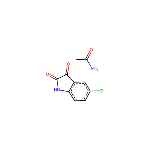 CC(N)=O.O=C1Nc2ccc(Cl)cc2C1=O